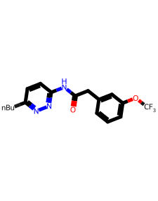 CCCCc1ccc(NC(=O)Cc2cccc(OC(F)(F)F)c2)nn1